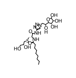 CCCCCCCCC(=O)N[C@H](CSC[C@H](O)CO)C(=O)Nc1cn(C[C@H](O)C2OC(O)[C@@H](O)[C@@H]2O)nn1